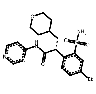 CCc1ccc([C@@H](CC2CCOCC2)C(=O)Nc2ccncn2)c(S(N)(=O)=O)c1